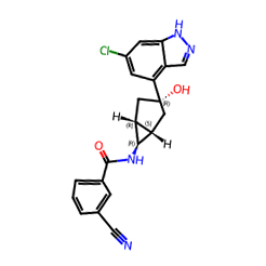 N#Cc1cccc(C(=O)N[C@H]2[C@@H]3C[C@@](O)(c4cc(Cl)cc5[nH]ncc45)C[C@@H]32)c1